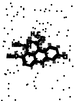 C.CCCCNc1c(OC)ccc2nc3cc(Cl)ccc3c(N(CC)CC)c12